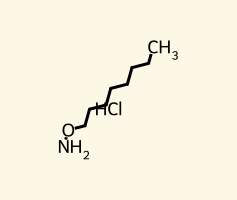 CCCCCCCCON.Cl